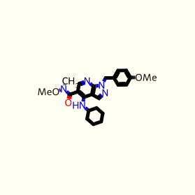 COc1ccc(Cn2ncc3c(NC4CCCCC4)c(C(=O)N(C)OC)cnc32)cc1